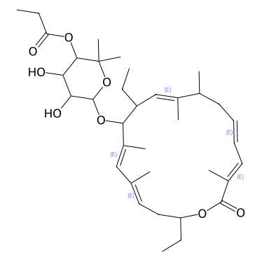 CCC(=O)OC1C(O)C(O)C(OC2/C(C)=C/C(C)=C/CC(CC)OC(=O)/C(C)=C/C=C/CC(C)/C(C)=C/C2CC)OC1(C)C